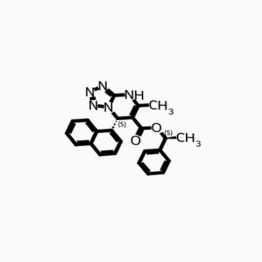 CC1=C(C(=O)O[C@@H](C)c2ccccc2)[C@H](c2cccc3ccccc23)n2nnnc2N1